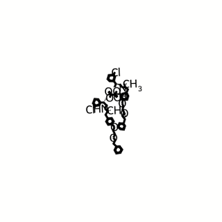 C[C@H](Cc1ccc(OCCOCCc2ccccc2)cc1)NC[C@@H](COC(=O)C(=O)OC[C@H](CN[C@H](C)Cc1ccc(OCCOCCc2ccccc2)cc1)c1cccc(Cl)c1)c1cccc(Cl)c1